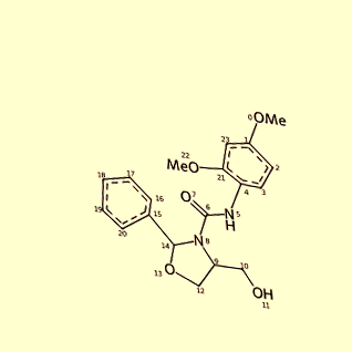 COc1ccc(NC(=O)N2C(CO)COC2c2ccccc2)c(OC)c1